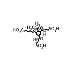 CC1N(CCCCCC(=O)O)c2cc(C(=O)NCCS(=O)(=O)O)cc(C(=O)NCCS(=O)(=O)O)c2C1(C)C